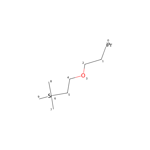 CC(C)CCOCC[Si](C)(C)C